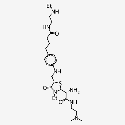 CCNCCNC(=O)CCCc1ccc(NC[C@H]2SC([C@H](N)C(=O)NCCN(C)C)N(CC)C2=O)cc1